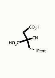 CCC[C@@H](C)CC(C#N)(CC(=O)O)C(=O)O